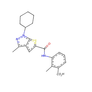 Cc1c(NC(=O)c2cc3c(C)nn(C4CCCCC4)c3s2)cccc1C(=O)O